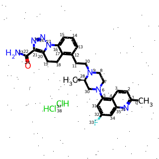 Cc1ccc2c(N3CCN(CCc4cccc5c4CCc4c(C(N)=O)nnn4-5)[C@H](C)C3)cc(F)cc2n1.Cl.Cl